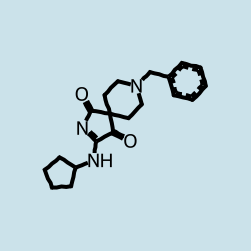 O=C1N=C(NC2CCCC2)C(=O)C12CCN(Cc1ccccc1)CC2